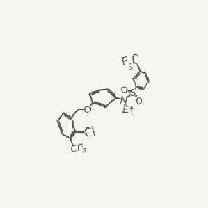 CCN(c1cccc(OCc2cccc(C(F)(F)F)c2Cl)c1)S(=O)(=O)c1cccc(C(F)(F)F)c1